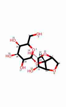 OCC1O[C@@H](O[C@@H]2C3COC2[C@@H](O)[C@H](O)O3)C(O)[C@@H](O)[C@H]1O